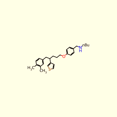 CCCCNCc1ccc(OCCCC(Cc2ccc(C)c(C)c2)c2ccsc2)cc1